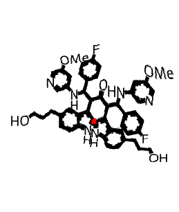 COc1cncc(NC(c2ccc(F)cc2)C(C(=O)C(c2c[nH]c3ccc(CCCO)cc23)C(Nc2cncc(OC)c2)c2ccc(F)cc2)c2c[nH]c3ccc(CCCO)cc23)c1